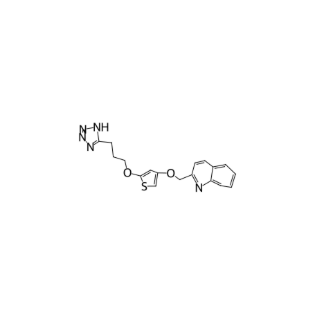 c1ccc2nc(COc3csc(OCCCc4nnn[nH]4)c3)ccc2c1